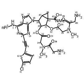 CCCNc1nc(C#Cc2ccc(Cl)s2)nc2c1ncn2C1C(OC(=O)CN(C)C(=O)CN)C(OC(=O)CN(C)C(=O)CN)C2(C(=O)NC)CC12